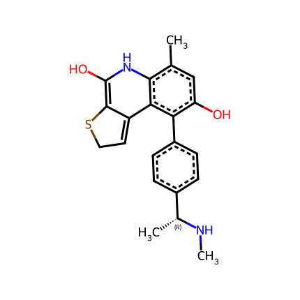 CN[C@H](C)c1ccc(-c2c(O)cc(C)c3c2C2=CCSC2=C(O)N3)cc1